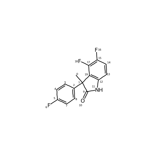 CC1(c2ccc(F)cc2)C(=O)Nc2ccc(F)c(F)c21